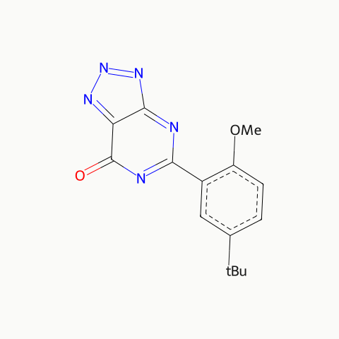 COc1ccc(C(C)(C)C)cc1C1=NC(=O)C2=NN=NC2=N1